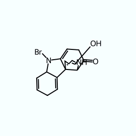 O=C1CC=C2N(Br)C3C=CCC=C3C23C=CC=C(O)NC13